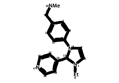 CCN1C=CN(c2ccc(CNC)cc2)C1c1ccncc1